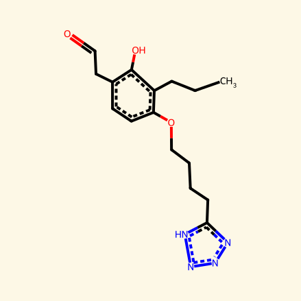 CCCc1c(OCCCCc2nnn[nH]2)ccc(CC=O)c1O